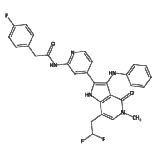 Cn1cc(CC(F)F)c2[nH]c(-c3ccnc(NC(=O)Cc4ccc(F)cc4)c3)c(Nc3ccccc3)c2c1=O